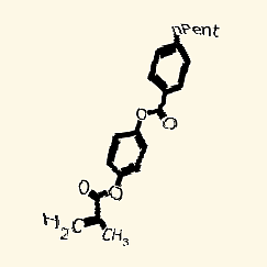 C=C(C)C(=O)Oc1ccc(OC(=O)c2ccc(CCCCC)cc2)cc1